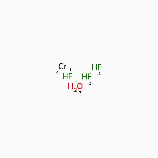 F.F.F.O.[Cr]